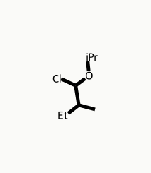 CCC(C)C(Cl)OC(C)C